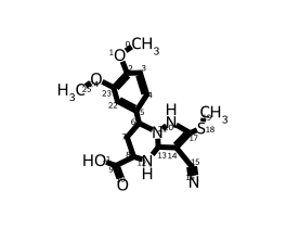 COc1ccc(C2CC(C(=O)O)NC3C(C#N)=C(SC)NN32)cc1OC